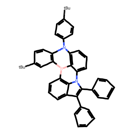 CC(C)(C)c1ccc(N2c3ccc(C(C)(C)C)cc3B3c4c2cccc4-n2c(-c4ccccc4)c(-c4ccccc4)c4cccc3c42)cc1